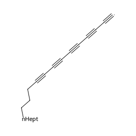 [C]#CC#CC#CC#CC#CCCCCCCCCCC